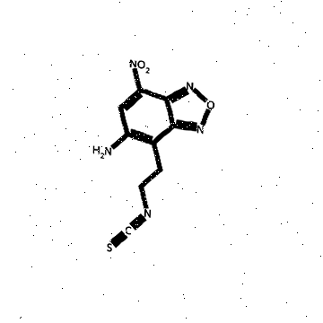 Nc1cc([N+](=O)[O-])c2nonc2c1CCN=C=S